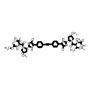 COC(=O)N[C@H](C(=O)N1C[C@@H](C)C[C@H]1c1nc(Cl)c(-c2ccc(C#Cc3ccc(-c4[nH]c([C@@H]5C[C@H](C)CN5C(=O)[C@H](C(C)C)N(C)C(=O)O)nc4Cl)cc3)cc2)[nH]1)C(C)C